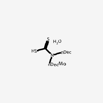 CCCCCCCCCCN(CCCCCCCCCC)C(=S)S.O.[Mo]